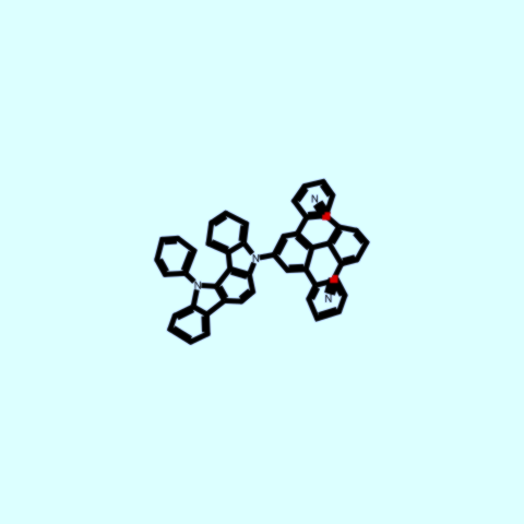 N#Cc1cccc(C#N)c1-c1c(-c2ccccc2)cc(-n2c3ccccc3c3c2ccc2c4ccccc4n(-c4ccccc4)c23)cc1-c1ccccc1